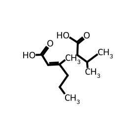 CC(C)CC(=O)O.CCCC(C)=CC(=O)O